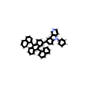 C1=Cc2cccc(-c3c4ccccc4c(-c4cccc5ccccc45)c4cc(-c5ccc6c(c5)c5cnccc5n6-c5ccccc5)ccc34)c2CC1